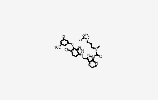 CN(CCCOC(N)=O)C(=O)n1nc(Cn2nnc3c(Oc4cc(Cl)cc(C#N)c4)c(Cl)ccc32)c2cccnc21